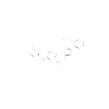 CNc1ncccc1-c1cc(C2CCCN2c2nccc(Nc3cc(C)[nH]n3)n2)on1